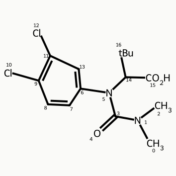 CN(C)C(=O)N(c1ccc(Cl)c(Cl)c1)C(C(=O)O)C(C)(C)C